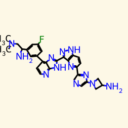 CN(C)CC(N)c1cc(F)cc(-c2ccnc3[nH]c(-c4n[nH]c5ccc(-c6cncc(N7CC(N)C7)n6)nc45)nc23)c1